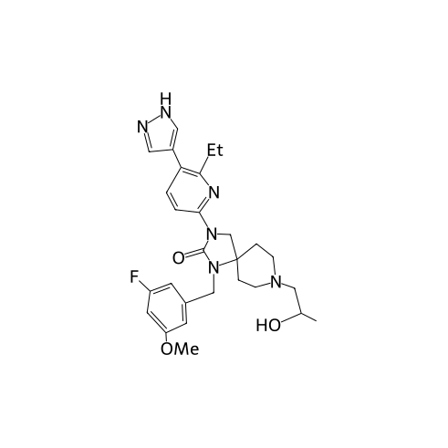 CCc1nc(N2CC3(CCN(CC(C)O)CC3)N(Cc3cc(F)cc(OC)c3)C2=O)ccc1-c1cn[nH]c1